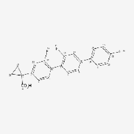 O=C(O)C1(c2ccc(-c3ccc(-c4ccc(F)cc4)cc3F)c(F)c2)CC1